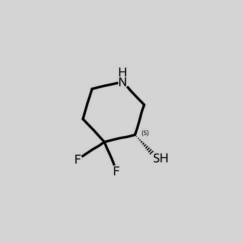 FC1(F)CCNC[C@@H]1S